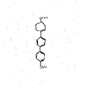 CCCCCCC1CC=C(c2ccc(-c3ccc(OC)cc3)cc2)CC1